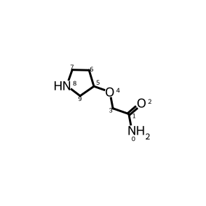 NC(=O)COC1CCNC1